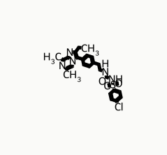 CCc1nc2c(C)nc(C)cn2c1-c1ccc(CCNC(=O)NS(=O)(=O)c2ccc(Cl)cc2)cc1